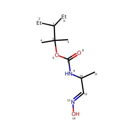 CCC(CC)C(C)(C)OC(=O)NC(C)/C=N/O